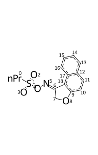 CCCS(=O)(=O)O/N=C1\COc2ccc3ccccc3c21